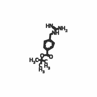 CC(C)(C)OC(=O)c1ccc(CNC(=N)N)cc1